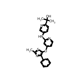 Cc1nc(-c2ccccc2)c(Oc2ccnc(Nc3ccc(C(C)(C)O)nc3)c2)s1